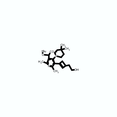 Cc1nc(C)c(C(OC(C)(C)C)C(=O)O)c(N2CCC(C)(C)CC2)c1C1=CC(CCO)C1